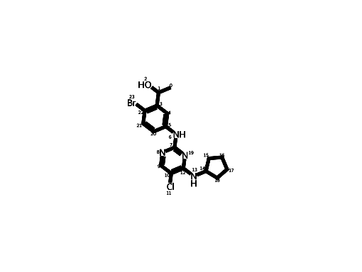 CC(O)c1cc(Nc2ncc(Cl)c(NC3CCCC3)n2)ccc1Br